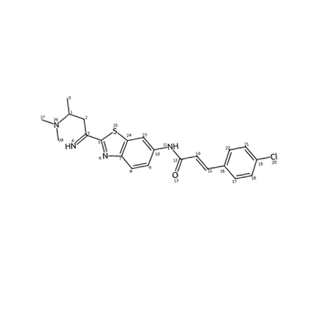 CC(CC(=N)c1nc2ccc(NC(=O)C=Cc3ccc(Cl)cc3)cc2s1)N(C)C